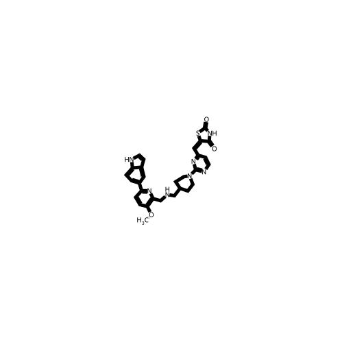 COc1ccc(-c2ccc3[nH]ccc3c2)nc1CNCC1CCN(c2nccc(C=C3SC(=O)NC3=O)n2)CC1